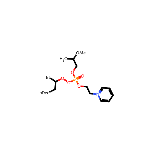 CCCCCCCCCCCC(CC)OOP(=O)(OCC[n+]1ccccc1)OCC(C)OC